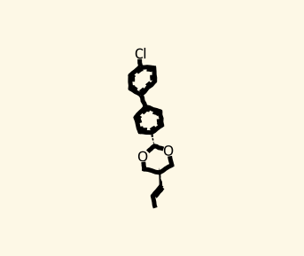 C/C=C/[C@H]1CO[C@H](c2ccc(-c3ccc(Cl)cc3)cc2)OC1